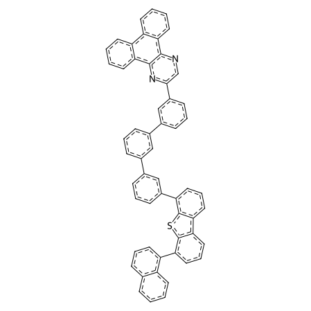 c1cc(-c2cccc(-c3cnc4c5ccccc5c5ccccc5c4n3)c2)cc(-c2cccc(-c3cccc4c3sc3c(-c5cccc6ccccc56)cccc34)c2)c1